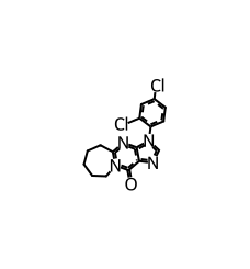 O=c1c2ncn(-c3ccc(Cl)cc3Cl)c2nc2n1CCCCC2